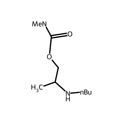 CCCCNC(C)COC(=O)NC